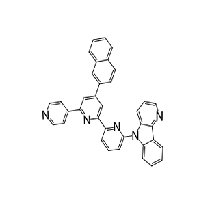 c1cc(-c2cc(-c3ccc4ccccc4c3)cc(-c3ccncc3)n2)nc(-n2c3ccccc3c3ncccc32)c1